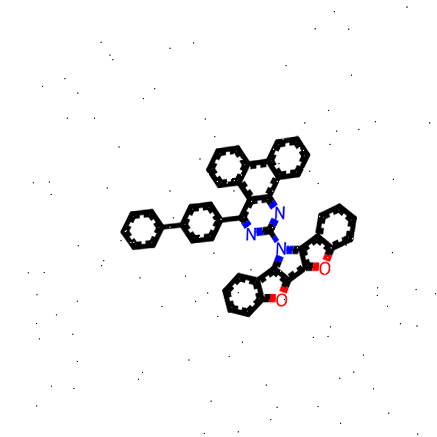 c1ccc(-c2ccc(-c3nc(-n4c5c6ccccc6oc5c5oc6ccccc6c54)nc4c5ccccc5c5ccccc5c34)cc2)cc1